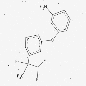 Nc1cccc(Oc2cccc(C(F)(C(F)F)C(F)(F)F)c2)c1